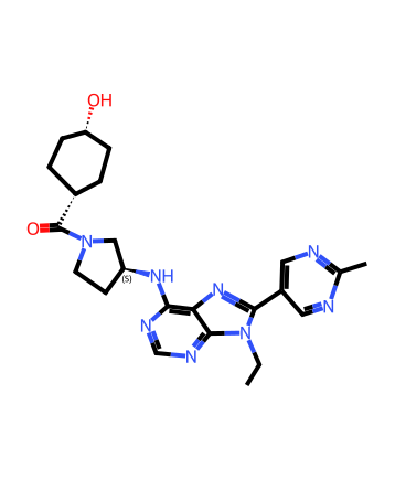 CCn1c(-c2cnc(C)nc2)nc2c(N[C@H]3CCN(C(=O)[C@H]4CC[C@@H](O)CC4)C3)ncnc21